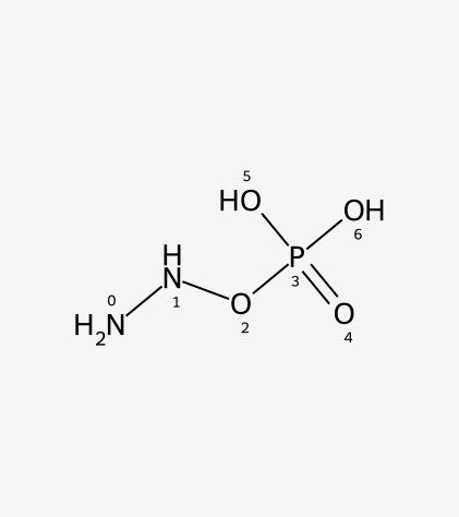 NNOP(=O)(O)O